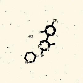 Cc1nc(N[C@H]2CCCNC2)ncc1-c1ccc(C(F)(F)F)cc1F.Cl